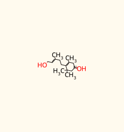 CC(=CCO)CCC1=C(C)C[C@@H](O)CC1(C)C